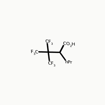 CCCC(C(=O)O)C(C(F)(F)F)(C(F)(F)F)C(F)(F)F